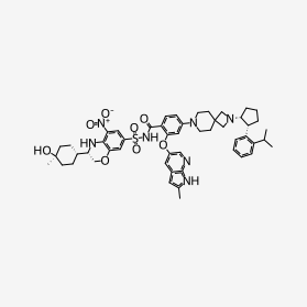 Cc1cc2cc(Oc3cc(N4CCC5(CC4)CN([C@@H]4CCC[C@@H]4c4ccccc4C(C)C)C5)ccc3C(=O)NS(=O)(=O)c3cc4c(c([N+](=O)[O-])c3)N[C@@H]([C@H]3CC[C@](C)(O)CC3)CO4)cnc2[nH]1